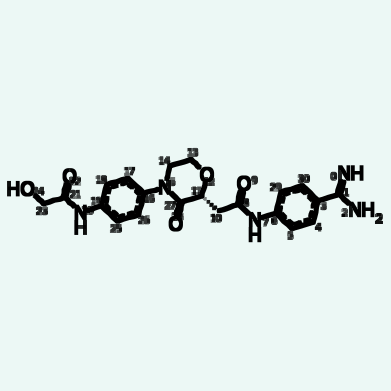 N=C(N)c1ccc(NC(=O)C[C@H]2OCCN(c3ccc(NC(=O)CO)cc3)C2=O)cc1